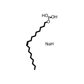 CCCCCCCC/C=C\CCCCCCCCOP(O)O.[NaH]